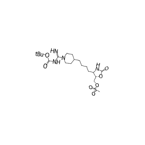 CC(C)(C)OC(=O)NC(=N)N1CCC(CCCCC2NC(=O)OC2COS(C)(=O)=O)CC1